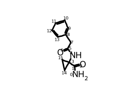 NC(=O)C1(NC(=O)Cc2ccccc2)CC1